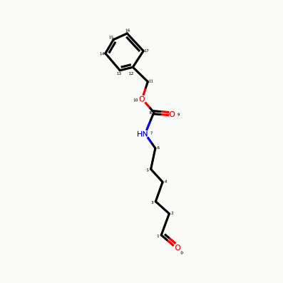 O=CCCCCCNC(=O)OCc1ccccc1